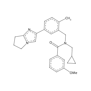 COc1cccc(C(=O)N(Cc2cc(-c3cn4c(n3)CCC4)ccc2C)CC2CC2)c1